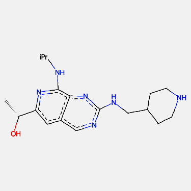 CC(C)Nc1nc([C@@H](C)O)cc2cnc(NCC3CCNCC3)nc12